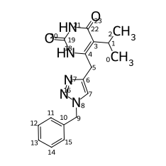 CC(C)c1c(Cc2cn(Cc3ccccc3)nn2)[nH]c(=O)[nH]c1=O